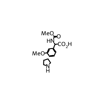 C1CCNC1.COC(=O)NC(C(=O)O)c1cccc(OC)c1